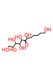 O=C(C(O)CCCCCO)[C@H](O)[C@@H](O)[C@H](O)[C@H](O)CO